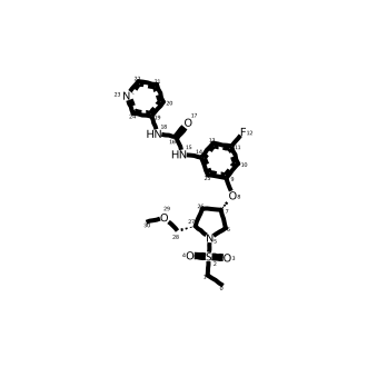 CCS(=O)(=O)N1C[C@@H](Oc2cc(F)cc(NC(=O)Nc3cccnc3)c2)C[C@H]1COC